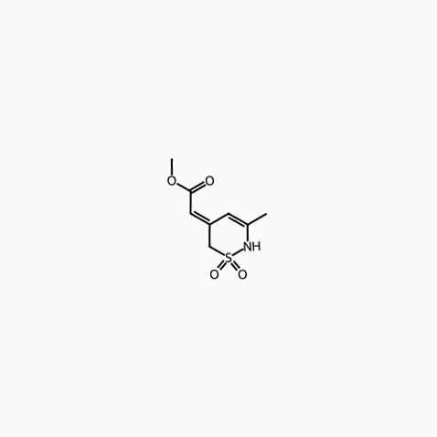 COC(=O)/C=C1\C=C(C)NS(=O)(=O)C1